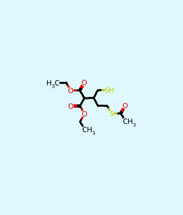 CCOC(=O)[C](C(=O)OCC)C(CS)CCSC(C)=O